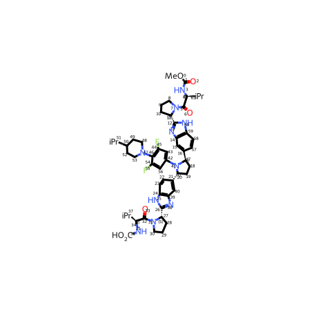 COC(=O)N[C@H](C(=O)N1CCC[C@H]1c1nc2cc([C@H]3CC[C@H](c4ccc5[nH]c([C@@H]6CCCN6C(=O)[C@@H](NC(=O)O)C(C)C)nc5c4)N3c3cc(F)c(N4CCC(C(C)C)CC4)c(F)c3)ccc2[nH]1)C(C)C